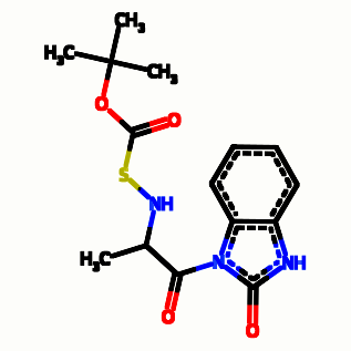 CC(NSC(=O)OC(C)(C)C)C(=O)n1c(=O)[nH]c2ccccc21